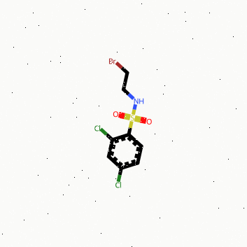 O=S(=O)(NCCBr)c1ccc(Cl)cc1Cl